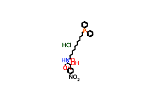 Cl.O=C(CCCCCCCCCCCP(c1ccccc1)c1ccccc1)N[C@H](CO)[C@H](O)c1ccc([N+](=O)[O-])cc1